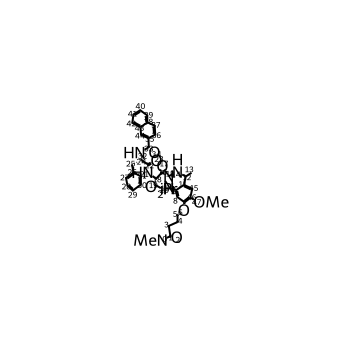 CNC(=O)CCCOc1cc([N+](=O)[O-])c(C(C)NNC(=O)[C@H](CC(C)C)NC(=O)[C@H](Cc2ccccc2)NC(=O)c2ccc3ccccc3c2)cc1OC